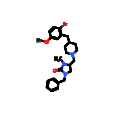 CC(C)Oc1ccc(Br)c(CC2CCN(CC3CN(Cc4ccccc4)C(=O)N3C)CC2)c1